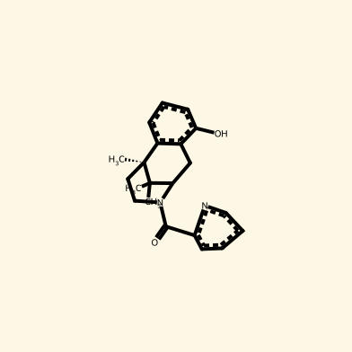 CC1(C)C2Cc3c(O)cccc3[C@]1(C)CCN2C(=O)c1ccccn1